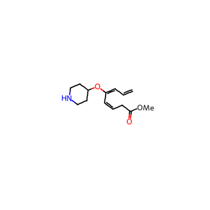 C=C/C=C(\C=C/CC(=O)OC)OC1CCNCC1